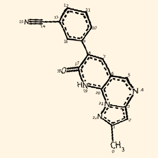 Cc1cc2ncc3cc(-c4cccc(C#N)c4)c(=O)[nH]c3n2n1